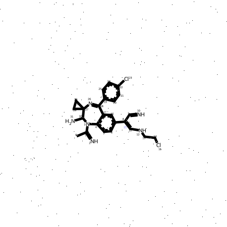 CC(=N)N1c2ccc(/C(C=N)=C/NCCCl)cc2C(c2ccc(Cl)cc2)=NC2(CC2)C1N